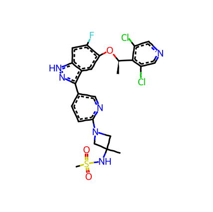 C[C@@H](Oc1cc2c(-c3ccc(N4CC(C)(NS(C)(=O)=O)C4)nc3)n[nH]c2cc1F)c1c(Cl)cncc1Cl